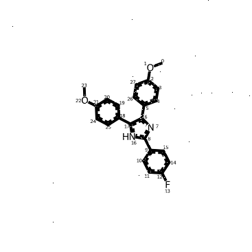 COc1ccc(-c2nc(-c3ccc(F)cc3)[nH]c2-c2ccc(OC)cc2)cc1